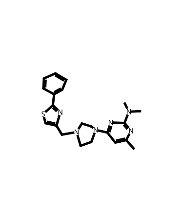 Cc1cc(N2CCN(Cc3csc(-c4ccccc4)n3)CC2)nc(N(C)C)n1